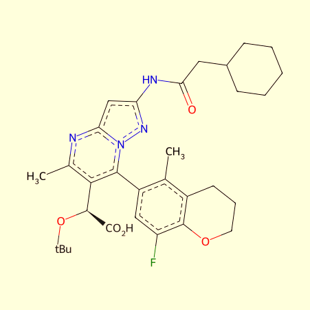 Cc1nc2cc(NC(=O)CC3CCCCC3)nn2c(-c2cc(F)c3c(c2C)CCCO3)c1[C@H](OC(C)(C)C)C(=O)O